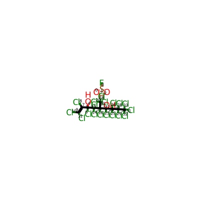 O=[SH](=O)F.OC(Cl)(C(Cl)=C(Cl)Cl)C(Cl)(Cl)C(Cl)(C(Cl)(Cl)Cl)C(O)(Cl)C(Cl)(Cl)C(Cl)(Cl)C(Cl)(Cl)Cl